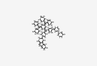 c1ccc(-c2cccc(-c3ccc(N(c4ccc(-c5ccc6sc7ccccc7c6c5)cc4)c4cc(N(c5ccccc5)c5ccccc5)cc(N(c5ccccc5)c5ccccc5)c4)cc3)c2)cc1